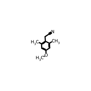 COc1cc(C)c(CC#N)c(C)c1